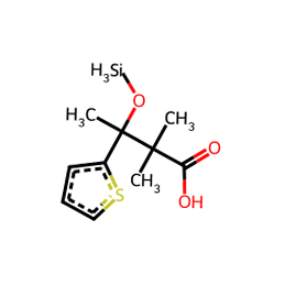 CC(C)(C(=O)O)C(C)(O[SiH3])c1cccs1